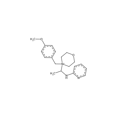 COc1ccc(C[N+]2(C(C)Nc3ccccn3)CCOCC2)cc1